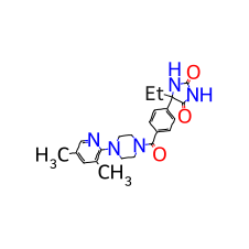 CCC1(c2ccc(C(=O)N3CCN(c4ncc(C)cc4C)CC3)cc2)NC(=O)NC1=O